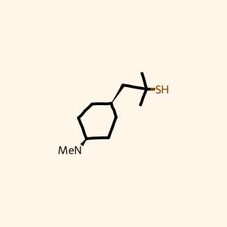 CN[C@H]1CC[C@@H](CC(C)(C)S)CC1